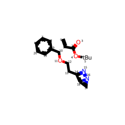 C=CC(=O)OC(C)(C)C.c1ccc(COCCc2nn3cc2-3)cc1